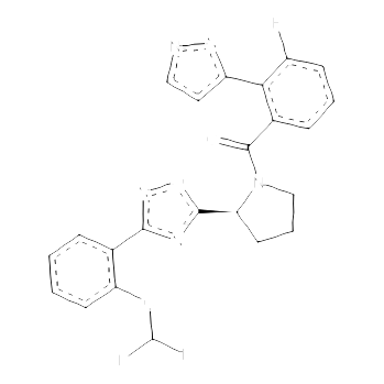 O=C(c1cccc(F)c1-c1ccn[nH]1)N1CCC[C@H]1c1nc(-c2ccccc2OC(F)F)no1